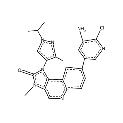 Cc1nn(C(C)C)cc1-n1c(=O)n(C)c2cnc3ccc(-c4cnc(Cl)c(N)c4)cc3c21